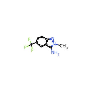 Cn1nc2ccc(C(F)(F)F)cc2c1N